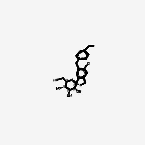 CCc1ccc(Cc2cc3c(cc2Cl)CO[C@]32S[C@H](CO)[C@@H](O)[C@H](O)[C@H]2O)cc1